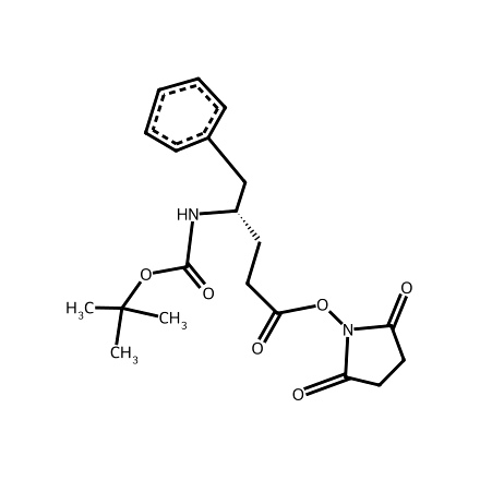 CC(C)(C)OC(=O)N[C@@H](CCC(=O)ON1C(=O)CCC1=O)Cc1ccccc1